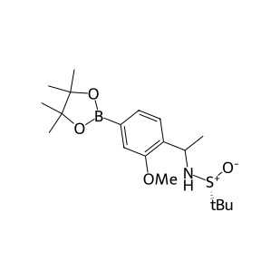 COc1cc(B2OC(C)(C)C(C)(C)O2)ccc1C(C)N[S@+]([O-])C(C)(C)C